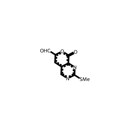 CSc1ncc2cc(C=O)oc(=O)c2n1